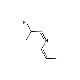 C/C=C\N=C/C(C)CC